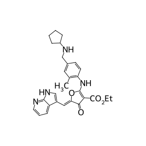 CCOC(=O)C1=C(Nc2ccc(CNC3CCCC3)cc2C)OC(=Cc2c[nH]c3ncccc23)C1=O